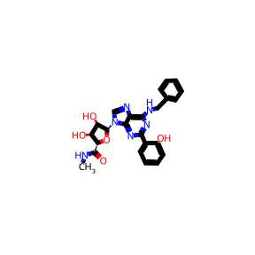 CNC(=O)[C@H]1O[C@@H](n2cnc3c(NCc4ccccc4)nc(-c4ccccc4O)nc32)[C@H](O)[C@@H]1O